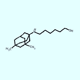 CC12CC3CC(C)(C1)CC(NCCCCCCO)(C3)C2